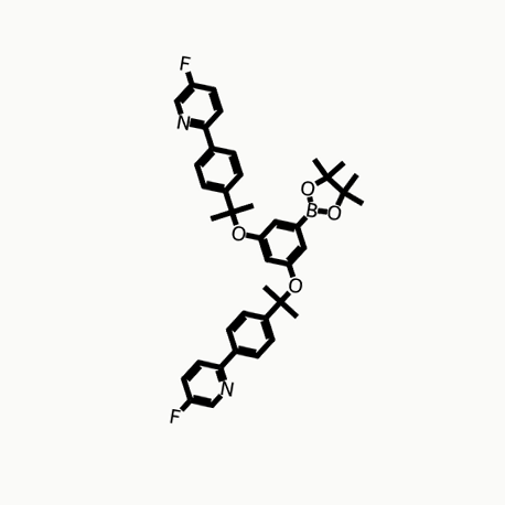 CC(C)(Oc1cc(OC(C)(C)c2ccc(-c3ccc(F)cn3)cc2)cc(B2OC(C)(C)C(C)(C)O2)c1)c1ccc(-c2ccc(F)cn2)cc1